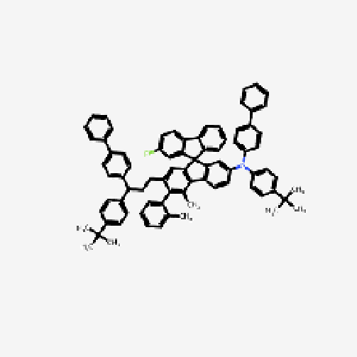 Cc1ccccc1-c1c(CCC(c2ccc(-c3ccccc3)cc2)c2ccc(C(C)(C)C)cc2)cc2c(c1C)-c1ccc(N(c3ccc(-c4ccccc4)cc3)c3ccc(C(C)(C)C)cc3)cc1C21c2ccccc2-c2ccc(F)cc21